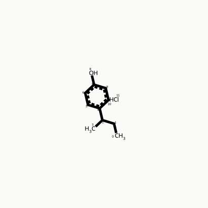 CCC(C)c1ccc(O)cc1.Cl